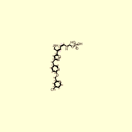 NC/C(=C\C=C/NCOP(=O)(O)O)c1cc(Cc2ccc(OCc3cc(Cl)ccn3)nc2)no1